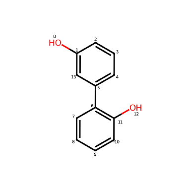 Oc1cccc(-c2ccc[c]c2O)c1